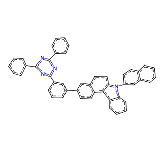 c1ccc(-c2nc(-c3ccccc3)nc(-c3cccc(-c4ccc5c(ccc6c5c5ccccc5n6-c5ccc6ccccc6c5)c4)c3)n2)cc1